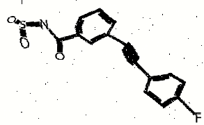 O=C(N=S(=O)=O)c1cccc(C#Cc2ccc(F)cc2)c1